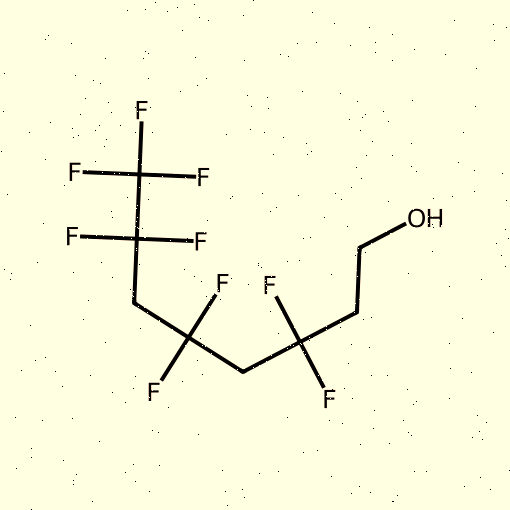 OCCC(F)(F)CC(F)(F)CC(F)(F)C(F)(F)F